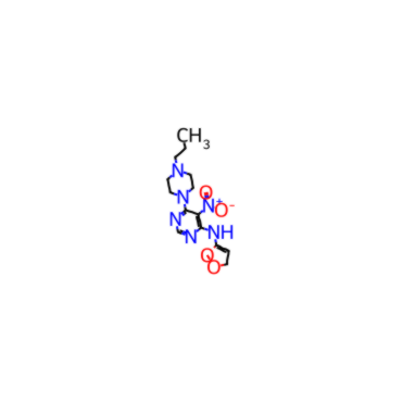 CCCN1CCN(c2ncnc(NC3=CCOO3)c2[N+](=O)[O-])CC1